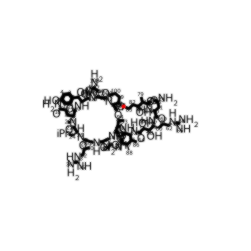 CO[C@H](c1ccc(O)cc1)C1NC(=O)C(CCC(N)=O)N(C)C(=O)[C@H](CC(C)C)NC(=O)[C@@H](CCCNC(=N)N)NC(=O)[C@@H](C(C)O)NC(=O)C(NC(=O)C(NC(=O)[C@H](O)C(O)[C@H](CCCNC(=N)N)NC(=O)C(CC(N)=O)NC(=O)C(C)C(O)CCC(C)C)C(C)[C@@H](C)C(N)=O)C(C)OC(=O)C2CCCCN2C(=O)[C@@H](CC(N)=O)NC1=O